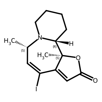 C[C@H]1C=C(I)C2=CC(=O)O[C@]2(C)[C@H]2CCCCN12